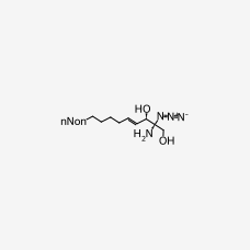 CCCCCCCCCCCCC/C=C/[C@@H](O)[C@@](N)(CO)N=[N+]=[N-]